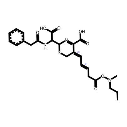 CCCN(C)OC(=O)C/C=C/C=C1\CSC(C(NC(=O)Cc2ccccc2)C(=O)O)N=C1C(=O)O